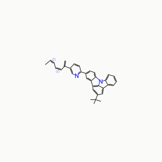 C=C(/C=C\C=C/C)c1ccc(-c2ccc3c(c2)c2cc(C(C)(C)C)cc4c5ccccc5n3c42)nc1